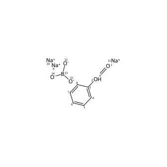 C=O.Oc1ccccc1.[Na+].[Na+].[Na+].[O-]B([O-])[O-]